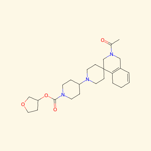 CC(=O)N1CC2=C(CCC=C2)C2(CCN(C3CCN(C(=O)OC4CCOC4)CC3)CC2)C1